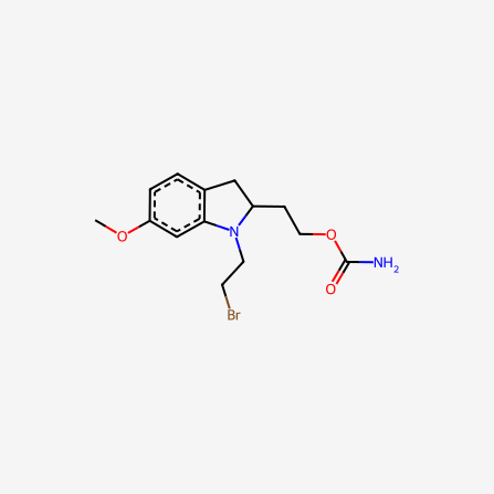 COc1ccc2c(c1)N(CCBr)C(CCOC(N)=O)C2